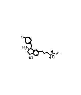 CCCS(=O)(=O)NCCCc1ccc2c(c1)C(Cc1ccc(Cl)cc1)C(N)CC2.Cl